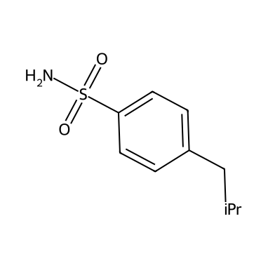 CC(C)Cc1ccc(S(N)(=O)=O)cc1